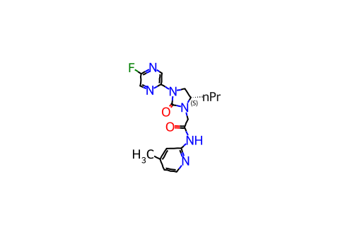 CCC[C@H]1CN(c2cnc(F)cn2)C(=O)N1CC(=O)Nc1cc(C)ccn1